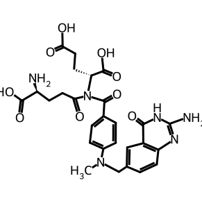 CN(Cc1ccc2nc(N)[nH]c(=O)c2c1)c1ccc(C(=O)N(C(=O)CC[C@H](N)C(=O)O)[C@H](CCC(=O)O)C(=O)O)cc1